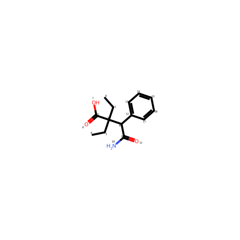 CCC(CC)(C(=O)O)C(C(N)=O)c1ccccc1